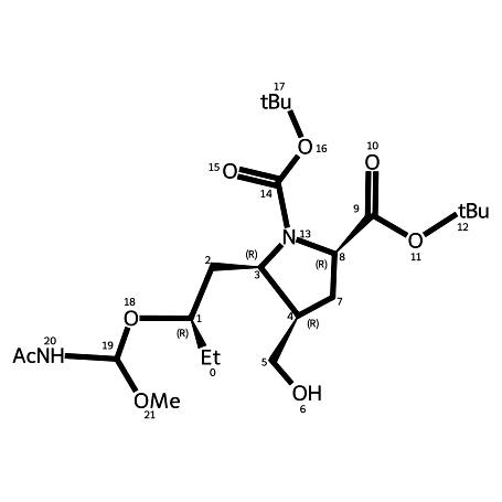 CC[C@H](C[C@@H]1[C@H](CO)C[C@H](C(=O)OC(C)(C)C)N1C(=O)OC(C)(C)C)OC(NC(C)=O)OC